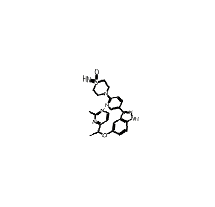 Cc1nccc(C(C)Oc2ccc3[nH]nc(-c4ccc(N5CCS(=N)(=O)CC5)nc4)c3c2)n1